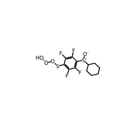 [O-][S+](c1c(F)c(F)c(SOOO)c(F)c1F)C1CCCCC1